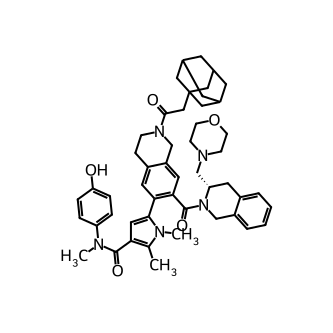 Cc1c(C(=O)N(C)c2ccc(O)cc2)cc(-c2cc3c(cc2C(=O)N2Cc4ccccc4C[C@H]2CN2CCOCC2)CN(C(=O)CC24CC5CC(CC(C5)C2)C4)CC3)n1C